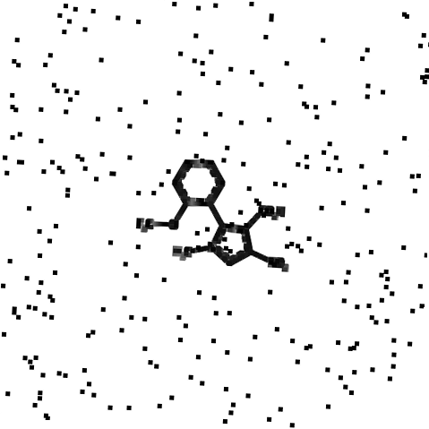 Cn1cc([N+](=O)[O-])c(C(=O)O)c1-c1ccccc1OC(F)(F)F